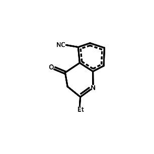 CCC1=Nc2cccc(C#N)c2C(=O)C1